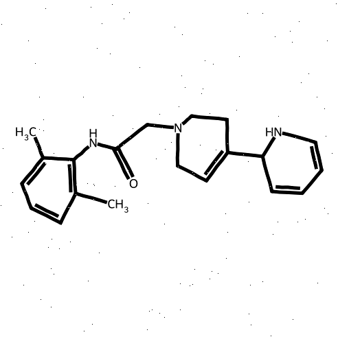 Cc1cccc(C)c1NC(=O)CN1CC=C(C2C=CC=CN2)CC1